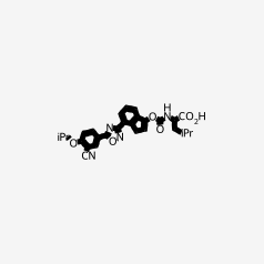 CC(C)CC(NC(=O)OC1=CCc2c1cccc2-c1noc(-c2ccc(OC(C)C)c(C#N)c2)n1)C(=O)O